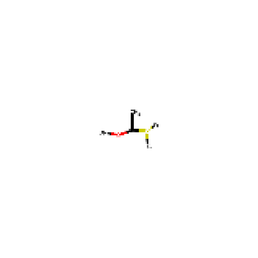 CC[S+](CC)C(C)ON=O